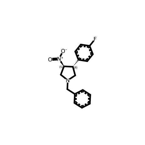 O=[N+]([O-])[C@@H]1CN(Cc2ccccc2)C[C@H]1c1ccc(F)cc1